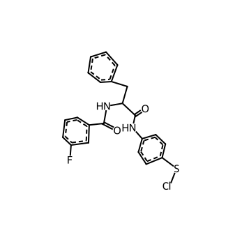 O=C(NC(Cc1ccccc1)C(=O)Nc1ccc(SCl)cc1)c1cccc(F)c1